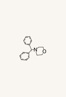 c1ccc([C](c2ccccc2)N2CCOCC2)cc1